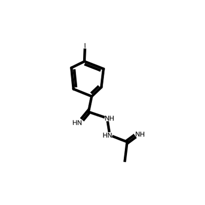 CC(=N)NNC(=N)c1ccc(I)cc1